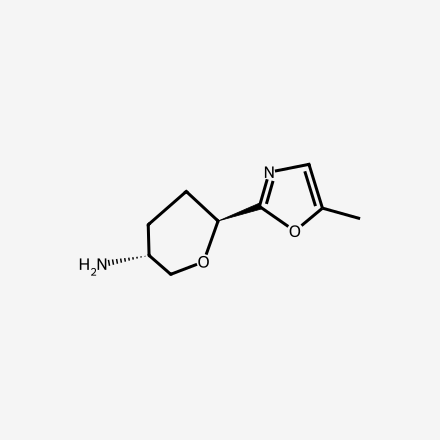 Cc1cnc([C@@H]2CC[C@@H](N)CO2)o1